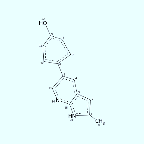 Cc1cc2cc(-c3ccc(O)cc3)cnc2[nH]1